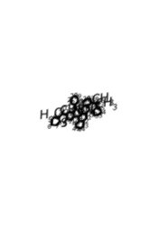 CC1(C)c2ccccc2Sc2cc3c(cc21)N(c1ccccc1)B1c2cccc4c2N(c2ccccc2C4(C)C)c2cc4ccccc4c-3c21